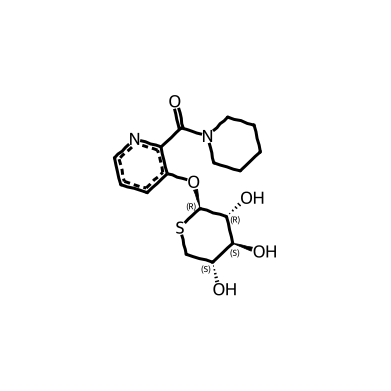 O=C(c1ncccc1O[C@@H]1SC[C@@H](O)[C@H](O)[C@H]1O)N1CCCCC1